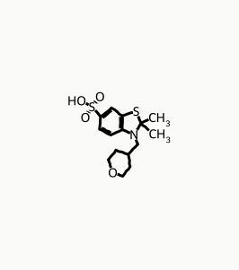 CC1(C)Sc2cc(S(=O)(=O)O)ccc2N1CC1CCOCC1